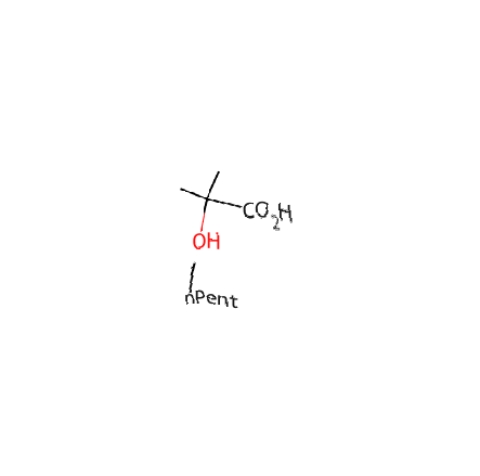 CC(C)(O)C(=O)O.CCCCCC